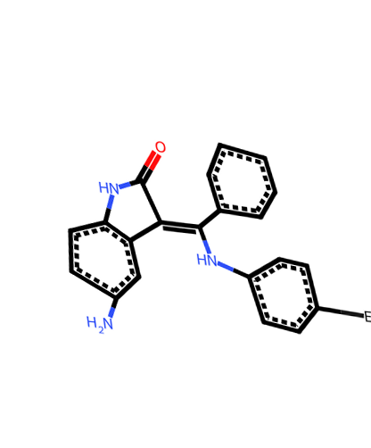 CCc1ccc(NC(=C2C(=O)Nc3ccc(N)cc32)c2ccccc2)cc1